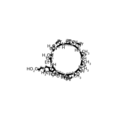 CC[C@H]1NC(=O)C([C@@H](O)[C@@H](C)CCN(CCC(=O)O)C(C)=O)N(C)C(=O)[C@@H](C(C)C)N(C)C(=O)[C@@H](CC(C)C)N(C)C(=O)C(C(C)C)N(C)C(=O)[C@@H](C)NC(=O)[C@@H](C)NC(=O)[C@@H](CC(C)C)N(C)C(=O)[C@@H](C(C)C)NC(=O)[C@@H](CC(C)C)N(C)C(=O)CN(C)C1=O